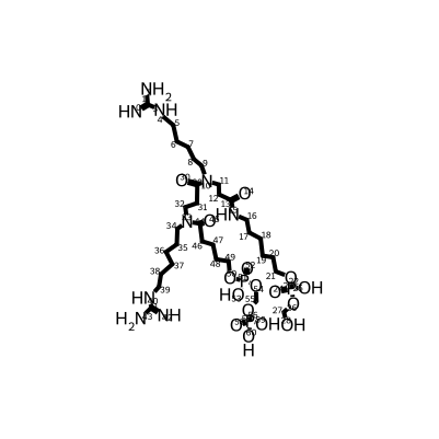 N=C(N)NCCCCCCN(CCC(=O)NCCCCCCOP(=O)(O)OCO)C(=O)CCN(CCCCCCNC(=N)N)C(=O)CCCCOP(=O)(O)OCOP(=O)(O)O